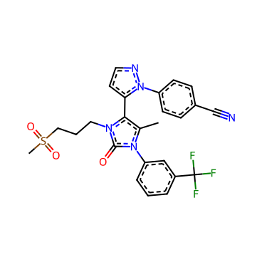 Cc1c(-c2ccnn2-c2ccc(C#N)cc2)n(CCCS(C)(=O)=O)c(=O)n1-c1cccc(C(F)(F)F)c1